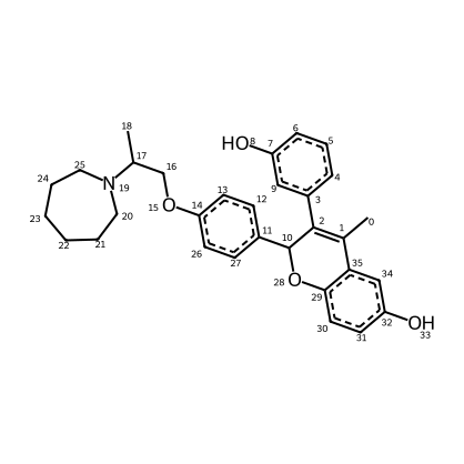 CC1=C(c2cccc(O)c2)C(c2ccc(OCC(C)N3CCCCCC3)cc2)Oc2ccc(O)cc21